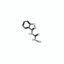 CC(C)NC(=S)Nc1noc2ccccc12